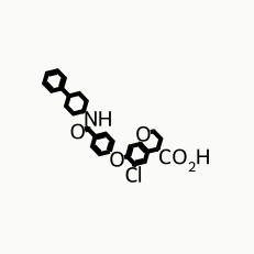 O=C(NC1CCC(c2ccccc2)CC1)c1ccc(Oc2cc3c(cc2Cl)C(C(=O)O)CCO3)cc1